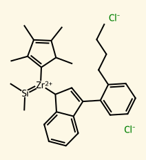 CCCCc1ccccc1C1=C[CH]([Zr+2]([C]2=C(C)C(C)=C(C)C2C)=[Si](C)C)c2ccccc21.[Cl-].[Cl-]